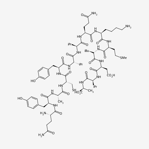 CC[C@H](C)[C@H](NC(=O)[C@H](CCSC)NC(=O)[C@H](CCCCN)NC(=O)[C@H](CCC(N)=O)NC(=O)[C@@H](NC(=O)[C@@H](NC(=O)[C@H](Cc1ccc(O)cc1)NC(=O)[C@H](CS)NC(=O)[C@H](C)NC(=O)[C@H](Cc1ccc(O)cc1)NC(=O)[C@@H](N)CCC(N)=O)C(C)C)C(C)C)C(=O)N[C@@H](CC(=O)O)C(=O)N[C@H](C(=O)N[C@@H](C)C(=O)O)C(C)C